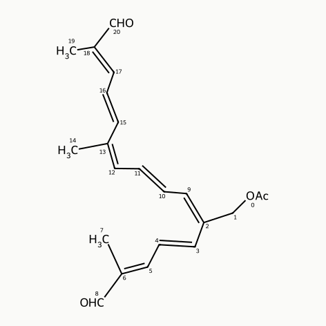 CC(=O)OCC(C=CC=C(C)C=O)=CC=CC=C(C)C=CC=C(C)C=O